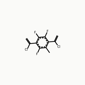 C=C(Cl)c1c(C)c(F)c(C(=C)Cl)c(F)c1F